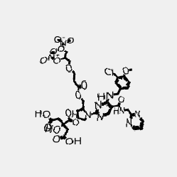 COc1ccc(CNc2nc(N3CCCC3COC(=O)CCOCC(CO[N+](=O)[O-])O[N+](=O)[O-])ncc2C(=O)NCc2ncccn2)cc1Cl.O=C(O)CC(O)(CC(=O)O)C(=O)O